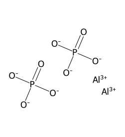 O=P([O-])([O-])[O-].O=P([O-])([O-])[O-].[Al+3].[Al+3]